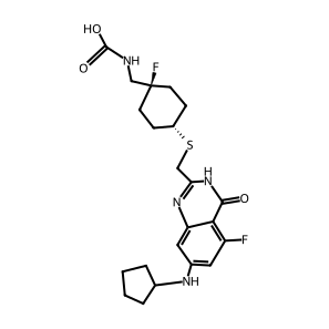 O=C(O)NC[C@]1(F)CC[C@H](SCc2nc3cc(NC4CCCC4)cc(F)c3c(=O)[nH]2)CC1